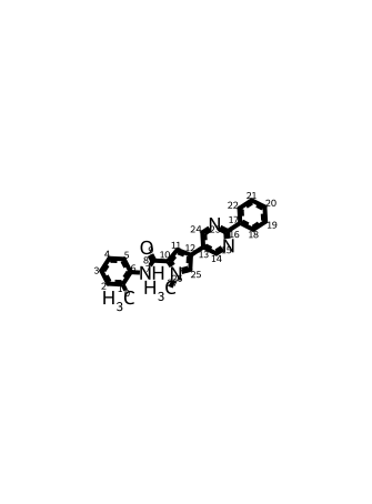 Cc1ccccc1NC(=O)c1cc(-c2cnc(-c3ccccc3)nc2)cn1C